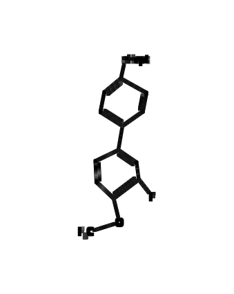 CCCCCCCc1ccc(-c2ccc(OC(F)(F)F)c(F)c2)cc1